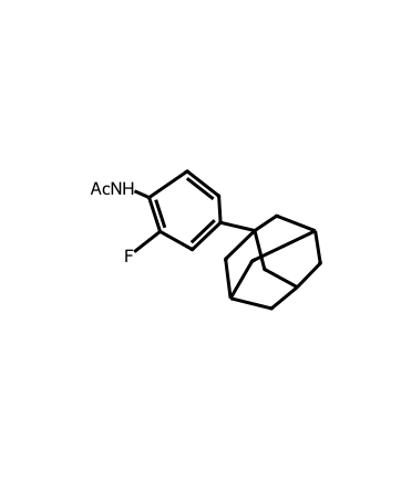 CC(=O)Nc1ccc(C23CC4CC(CC(C4)C2)C3)cc1F